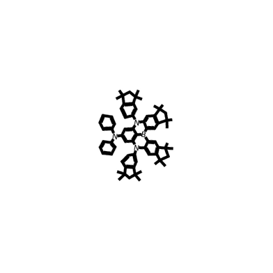 CC1(C)CC(C)(C)c2cc(N3c4cc5c(cc4B4c6cc7c(cc6N(c6ccc8c(c6)C(C)(C)CC8(C)C)c6cc(N(c8ccccc8)c8ccccc8)cc3c64)C(C)(C)CC7(C)C)C(C)(C)CC5(C)C)ccc21